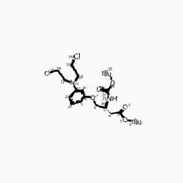 CC(C)(C)OC(=O)C[C@H](COc1cccc(N(CCCl)CCCl)c1)NC(=O)OC(C)(C)C